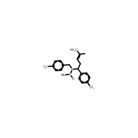 CC(=CCC(c1ccc(C(F)(F)F)cc1)N(Cc1ccc(C(F)(F)F)cc1)[S+]([O-])C(C)(C)C)C(=O)O